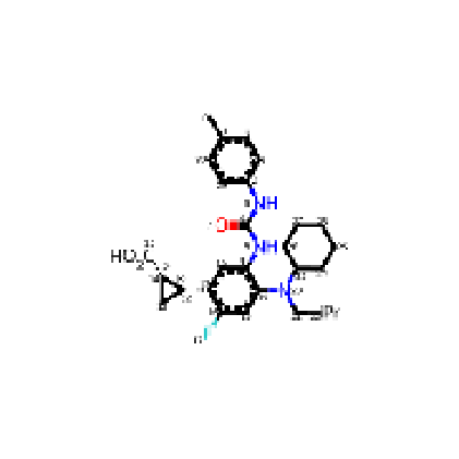 Cc1ccc(NC(=O)Nc2cc([C@@H]3C[C@@H]3C(=O)O)c(F)cc2N(CC(C)C)C2CCCCC2)cc1